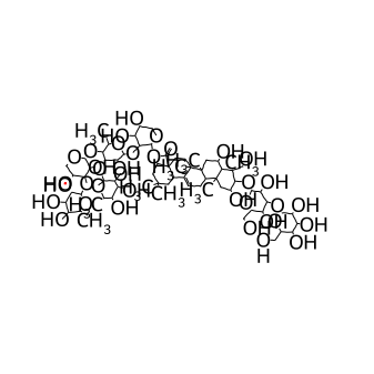 CC1OC(OC2C(O)COC(OC3C(C)OC(OC4C(OC(=O)C56CCC(C)(C)CC5C5=CCC7C8(C)CC(O)C(OC9OC(CO)C(O)C(OC%10OC(CO)C(O)C(O)C%10O)C9O)C(C)(CO)C8C(O)CC7(C)C5(C)CC6)OCC(O)C4O)C(O)C3OC3OC(C)C(O)C(O)C3O)C2O)C(O)C(O)C1O